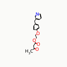 CC(=O)CC(=O)OCCOc1ccc(Cc2cccnc2)cc1